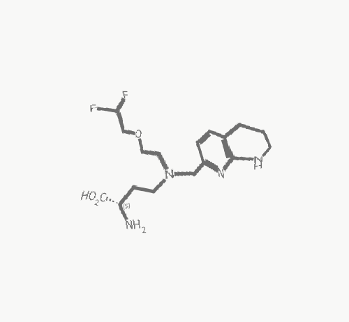 N[C@@H](CCN(CCOCC(F)F)Cc1ccc2c(n1)NCCC2)C(=O)O